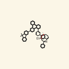 CC/C1=C(\C2C=C(c3cccc4c5ccccc5c5cc(-c6ccc7c(c6)-c6ccccc6C7(C)C)ccc5c34)C=CC2)[C@H](C)CC/C=C(c2ccccc2)/N=C(/c2ccccc2)C1